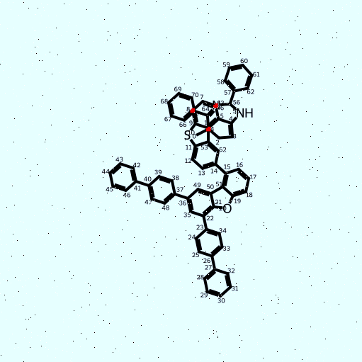 CC1C/C=C(\c2cccc3sc4ccc(-c5cccc6oc7c(-c8ccc(-c9ccccc9)cc8)cc(-c8ccc(-c9ccccc9)cc8)cc7c56)cc4c23)NC(c2ccccc2)/N=C\1c1ccccc1